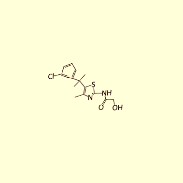 Cc1nc(NC(=O)CO)sc1C(C)(C)c1cccc(Cl)c1